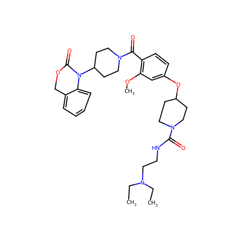 CCN(CC)CCNC(=O)N1CCC(Oc2ccc(C(=O)N3CCC(N4C(=O)OCc5ccccc54)CC3)c(OC)c2)CC1